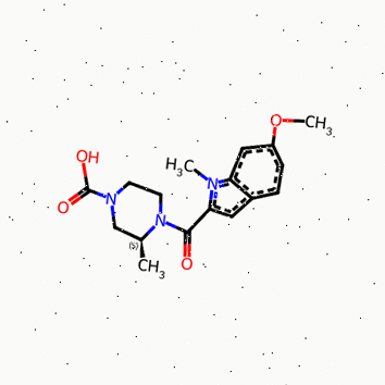 COc1ccc2cc(C(=O)N3CCN(C(=O)O)C[C@@H]3C)n(C)c2c1